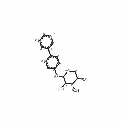 O[C@@H]1[C@@H](O)[C@H](Oc2ccc(-c3cncnc3)nc2)SC[C@H]1O